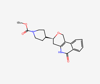 CC(C)(C)OC(=O)N1CCC([C@@H]2Cc3[nH]c(=O)c4ccccc4c3CO2)CC1